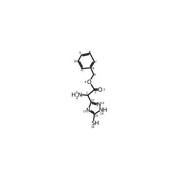 NC(C(=O)OCc1ccccc1)c1n[nH]c(S)n1